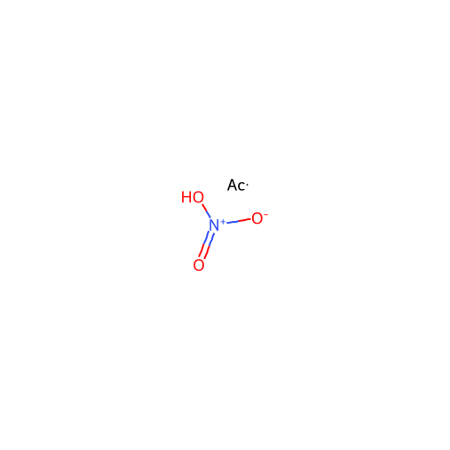 O=[N+]([O-])O.[Ac]